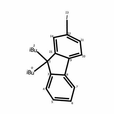 CCC(C)C1(C(C)CC)c2ccccc2-c2ccc(I)cc21